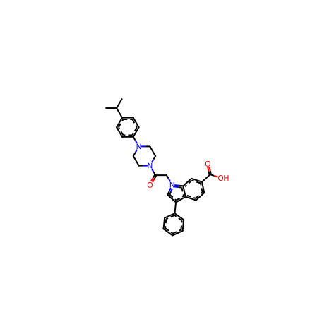 CC(C)c1ccc(N2CCN(C(=O)Cn3cc(-c4ccccc4)c4ccc(C(=O)O)cc43)CC2)cc1